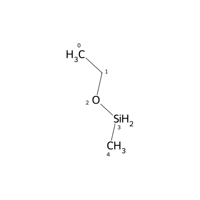 CCO[SiH2]C